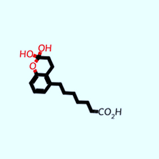 O=C(O)CCCCCCc1cccc2c1CCC(O)(O)O2